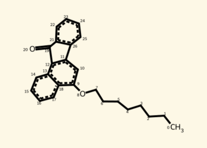 CCCCCCCCOc1cc2c(c3ccccc13)C(=O)c1ccccc1-2